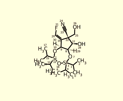 CC(C)[Si]1(C(C)C)O[C@H]2[C@@H](O[Si](C(C)C)(C(C)C)O1)/C(=C/F)[C@](C#N)(CO)[C@H]2O